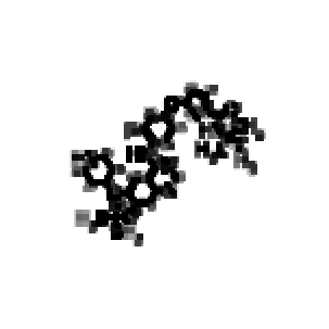 BC(B)(B)Oc1cc2ncnc(Nc3ccc(Oc4ccn(C(=O)NC(C)(C)C)n4)cc3F)c2cc1OC1CCNCC1